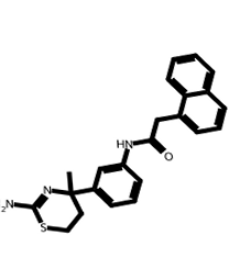 CC1(c2cccc(NC(=O)Cc3cccc4ccccc34)c2)CCSC(N)=N1